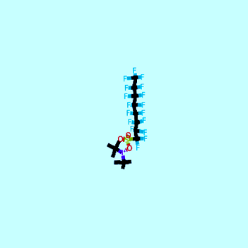 CC(C)(C)[I+](OS(=O)(=O)C(F)(F)C(F)(F)C(F)(F)C(F)(F)C(F)(F)C(F)(F)C(F)(F)C(F)(F)F)C(C)(C)C